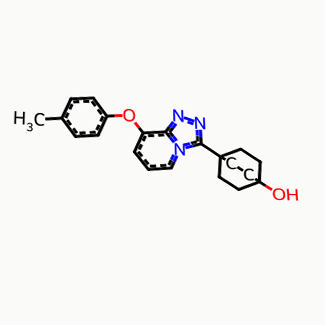 Cc1ccc(Oc2cccn3c(C45CCC(O)(CC4)CC5)nnc23)cc1